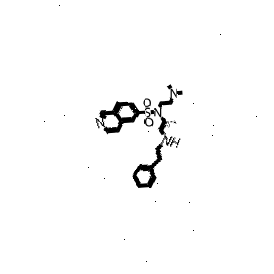 C[C@H](CNCCc1ccccc1)N(CCN(C)C)S(=O)(=O)c1ccc2cnccc2c1